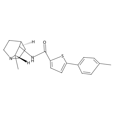 Cc1ccc(-c2ccc(C(=O)N[C@@H]3C4CCN(CC4)[C@H]3C)s2)cc1